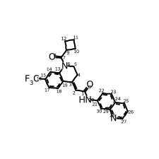 O=C(C=C1CCN(C(=O)C2CCC2)c2cc(C(F)(F)F)ccc21)Nc1ccc2cccnc2c1